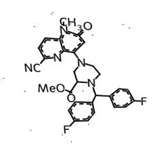 COC(=O)C1CN(c2cc(=O)n(C)c3ccc(C#N)nc23)CCN1C(c1ccc(F)cc1)c1ccc(F)cc1